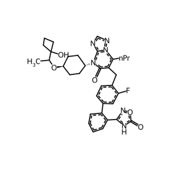 CCCc1c(Cc2ccc(-c3ccccc3-c3noc(=O)[nH]3)cc2F)c(=O)n([C@H]2CC[C@H](OC(C)C3(O)CCC3)CC2)c2ncnn12